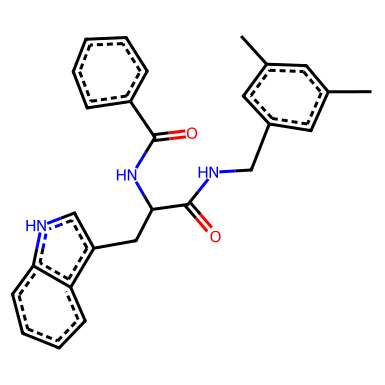 Cc1cc(C)cc(CNC(=O)C(Cc2c[nH]c3ccccc23)NC(=O)c2ccccc2)c1